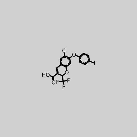 O=C(O)C1=Cc2cc(Cl)c(Oc3ccc(I)cc3)cc2OC1C(F)(F)F